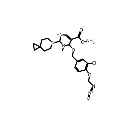 [N-]=[N+]=NCOc1ccc(COC2C(C(=O)ON)=CNC(N3CCC4(CC3)CC4)N2I)cc1Cl